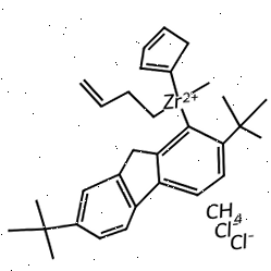 C.C=CC[CH2][Zr+2]([CH3])([C]1=CC=CC1)[c]1c(C(C)(C)C)ccc2c1Cc1cc(C(C)(C)C)ccc1-2.[Cl-].[Cl-]